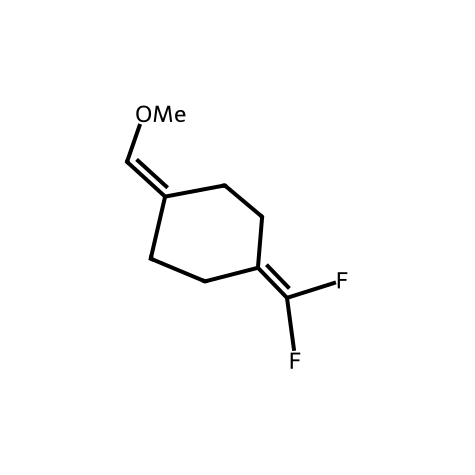 COC=C1CCC(=C(F)F)CC1